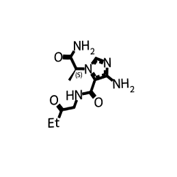 CCC(=O)CNC(=O)c1c(N)ncn1[C@@H](C)C(N)=O